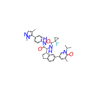 Cc1cnn(C)c1-c1ccc(NC(=O)[C@@H](NC(=O)C2(F)CC2)[C@@H]2CCc3ccc(-c4cc(C)c(=O)n(C(C)C)c4)cc32)cc1